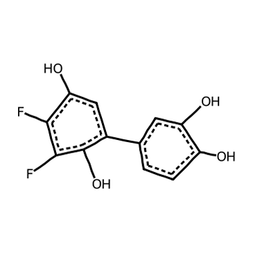 Oc1ccc(-c2cc(O)c(F)c(F)c2O)cc1O